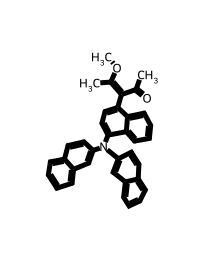 CO/C(C)=C(\C(C)=O)c1ccc(N(c2ccc3ccccc3c2)c2ccc3ccccc3c2)c2ccccc12